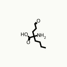 CCCCC(N)(CCC=O)C(=O)O